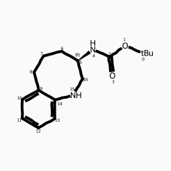 CC(C)(C)OC(=O)N[C@@H]1CCCc2ccccc2NC1